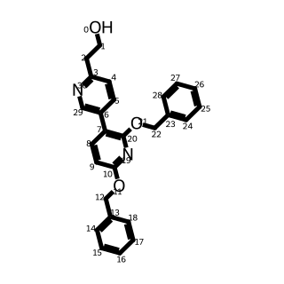 OCCc1ccc(-c2ccc(OCc3ccccc3)nc2OCc2ccccc2)cn1